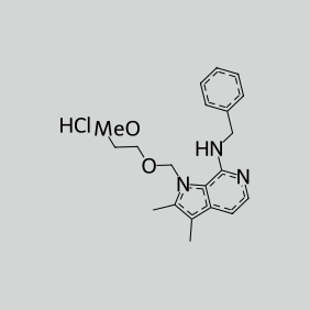 COCCOCn1c(C)c(C)c2ccnc(NCc3ccccc3)c21.Cl